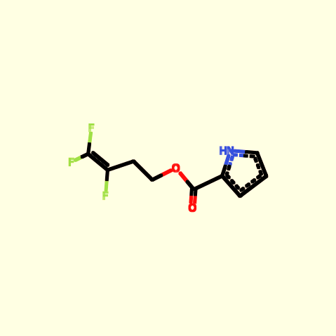 O=C(OCCC(F)=C(F)F)c1ccc[nH]1